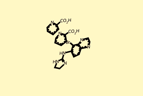 Brc1c(NC2=NCCN2)ccc2nccnc12.O=C(O)c1ccccn1.O=C(O)c1ccccn1